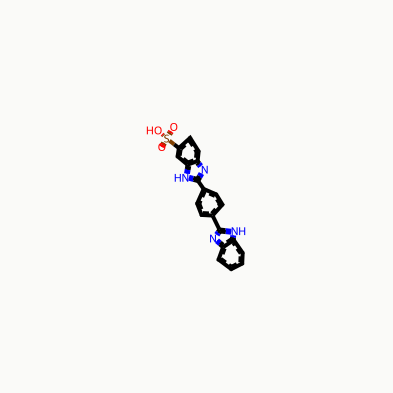 O=S(=O)(O)c1ccc2nc(-c3ccc(-c4nc5ccccc5[nH]4)cc3)[nH]c2c1